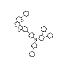 C1=C(c2ccccc2)Oc2c(ccc3oc4cc(-c5ccc(N(c6ccc(-c7ccccc7)cc6)c6ccc(-c7ccccc7)c(-c7ccccc7)c6)cc5)ccc4c23)C1